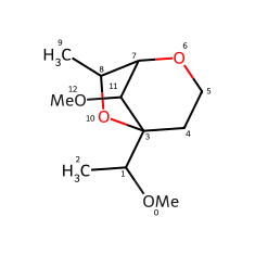 COC(C)C12CCOC(C(C)O1)C2OC